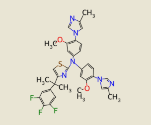 COc1cc(N(c2ccc(-n3cnc(C)c3)c(OC)c2)c2nc(C(C)(C)c3cc(F)c(F)c(F)c3)cs2)ccc1-n1cnc(C)c1